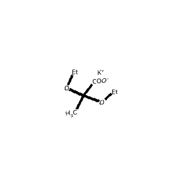 CCOC(C)(OCC)C(=O)[O-].[K+]